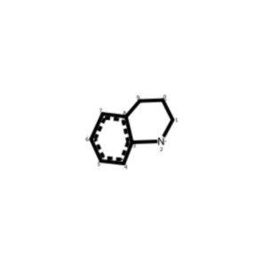 [CH]1C[N]c2ccccc2C1